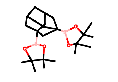 CC1(C)OB(C23CC4CC(C2)CC(B2OC(C)(C)C(C)(C)O2)(C4)C3)OC1(C)C